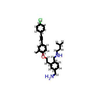 Cc1cc(C#Cc2ccc(Cl)cc2)ccc1OCCc1cc(CN)ccc1CNCCC(C)C